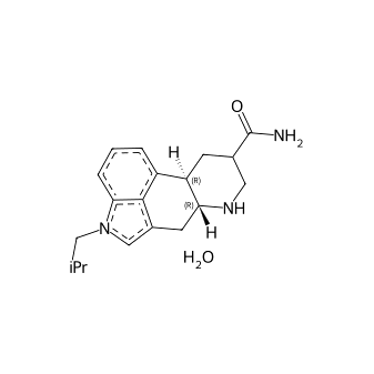 CC(C)Cn1cc2c3c(cccc31)[C@H]1CC(C(N)=O)CN[C@@H]1C2.O